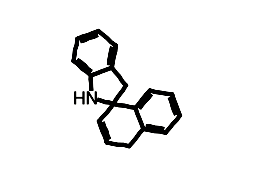 C1=CC2(Cc3ccccc3N2)c2ccccc2C1